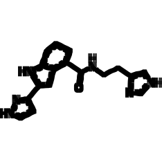 O=C(NCCc1c[nH]cn1)c1cccc2[nH]c(-c3cc[nH]n3)cc12